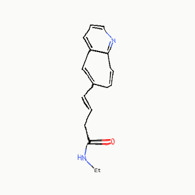 CCNC(=O)C/C=C/c1ccc2ncccc2c1